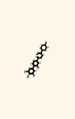 C=C(/C=C\C(=C/C)C1CCC(C)CC1)c1ccc(-c2cc(F)c(F)c(F)c2)c(F)c1